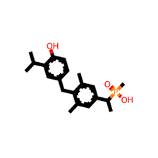 Cc1cc(C(C)P(C)(=O)O)cc(C)c1Cc1ccc(O)c(C(C)C)c1